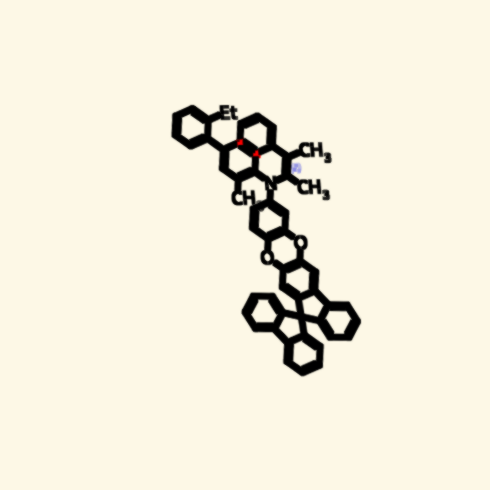 CCc1ccccc1-c1ccc(N(/C(C)=C(/C)c2ccccc2)c2ccc3c(c2)Oc2cc4c(cc2O3)C2(c3ccccc3-c3ccccc32)c2ccccc2-4)c(C)c1